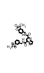 Cn1c(=O)oc2ccc(CNC(=O)c3cc(C(=O)NCc4cccc(S(C)(=O)=O)c4)n4nccc4n3)cc21